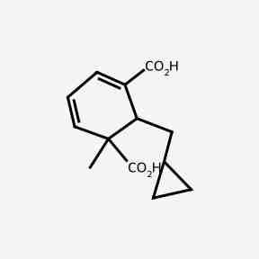 CC1(C(=O)O)C=CC=C(C(=O)O)C1CC1CC1